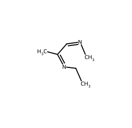 CC/N=C(C)\C=N/C